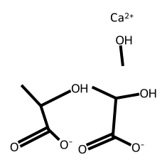 CC(O)C(=O)[O-].CC(O)C(=O)[O-].CO.[Ca+2]